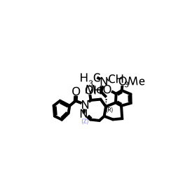 COc1ccc2c(c1OC)[C@]1(CCN(C)C)CC(O)N(C(=O)c3ccccc3)/N=C\CC1CC2